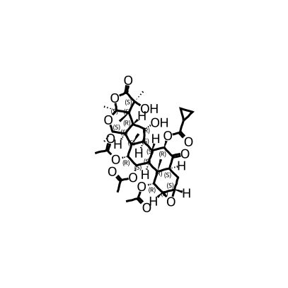 CC(=O)O[C@H]1[C@H]2[C@H]([C@@H]3[C@@H](O)[C@@H]4[C@H]([C@H](C)O[C@@]5(C)OC(=O)[C@@](C)(O)[C@]45C)[C@@]3(C)[C@H]1OC(C)=O)[C@@H](OC(=O)C1CC1)C(=O)[C@H]1C[C@@H]3O[C@@H]3[C@H](OC(C)=O)[C@]21C